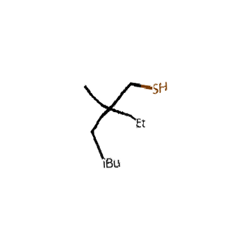 CCC(C)CC(C)(CC)CS